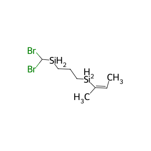 CC=C(C)[SiH2]CCC[SiH2]C(Br)Br